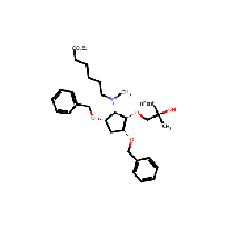 CCCCCC(C)(O)CO[C@H]1[C@H](N(C)CCCCCC(=O)OCC)[C@@H](OCc2ccccc2)C[C@H]1OCc1ccccc1